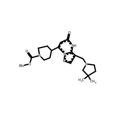 CC1(C)CCN(Cc2cnn3c(C4CCN(C(=O)OC(C)(C)C)CC4)cc(=O)[nH]c23)C1